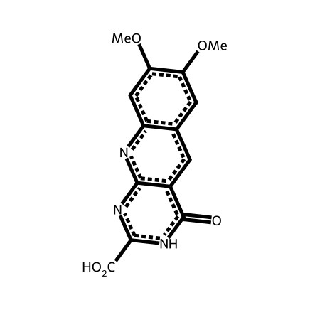 COc1cc2cc3c(=O)[nH]c(C(=O)O)nc3nc2cc1OC